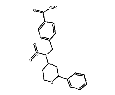 COC(=O)c1ccc(CN(C2CCOC(c3ccccc3)C2)[SH](=O)=O)nc1